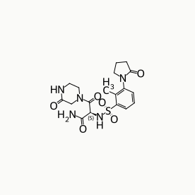 Cc1c(N2CCCC2=O)cccc1S(=O)(=O)N[C@@H](C(N)=O)C(=O)N1CCNC(=O)C1